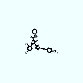 Cc1c(C(=O)NN2CCCCC2)nn(-c2ccc(Cl)cc2Cl)c1-c1ccc(C#Cc2ccc(C(F)(F)F)cc2)s1